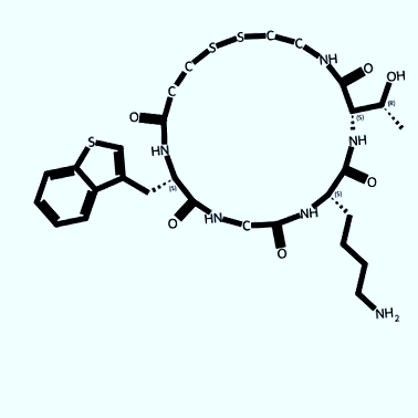 C[C@@H](O)[C@@H]1NC(=O)[C@H](CCCCN)NC(=O)CNC(=O)[C@H](Cc2csc3ccccc23)NC(=O)CCSSCCNC1=O